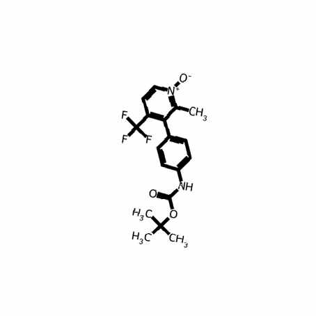 Cc1c(-c2ccc(NC(=O)OC(C)(C)C)cc2)c(C(F)(F)F)cc[n+]1[O-]